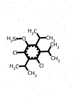 CC(C)c1c(Cl)c(O[SiH3])c(C(C)C)c(C(C)C)c1Cl